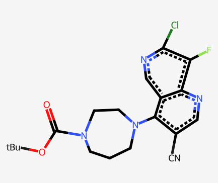 CC(C)(C)OC(=O)N1CCCN(c2c(C#N)cnc3c(F)c(Cl)ncc23)CC1